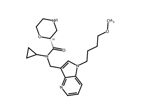 COCCCCn1cc(CN(C(=O)[C@H]2CNCCO2)C2CC2)c2ncccc21